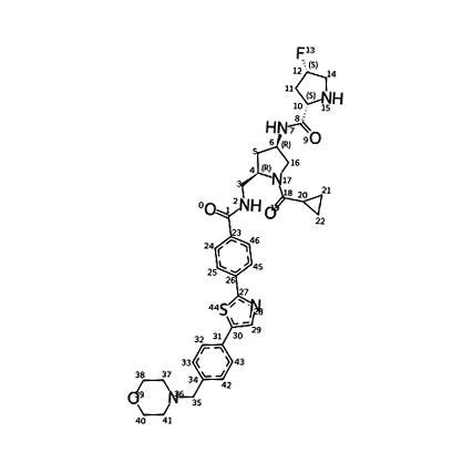 O=C(NC[C@H]1C[C@@H](NC(=O)[C@@H]2C[C@H](F)CN2)CN1C(=O)C1CC1)c1ccc(-c2ncc(-c3ccc(CN4CCOCC4)cc3)s2)cc1